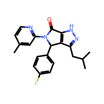 Cc1ccnc(N2C(=O)c3[nH]nc(CC(C)C)c3C2c2ccc(F)cc2)c1